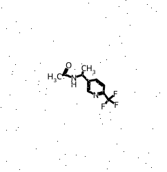 CC(=O)NC(C)c1ccc(C(F)(F)F)nc1